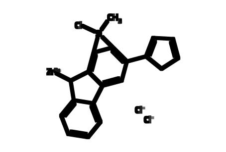 C[Si]1(Cl)c2c(C3=CC=CC3)cc3c(c21)[CH]([Zr+2])c1ccccc1-3.[Cl-].[Cl-]